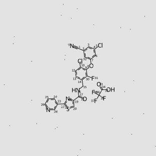 N#Cc1cc(Cl)cc(Oc2c(Cl)ccc(CNC(=O)c3csc(-c4cccnc4)n3)c2F)c1.O=C(O)C(F)(F)F